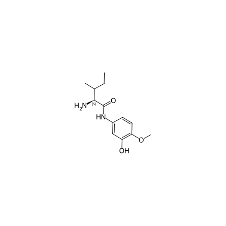 CCC(C)[C@H](N)C(=O)Nc1ccc(OC)c(O)c1